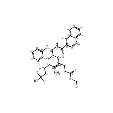 CCOC(=O)CCC(=O)O[C@@H](C[C@@H](CCC(C)(C)O)C(N)=O)[C@H](Cc1cccc(F)c1)NC(=O)c1cnc2ccccc2n1